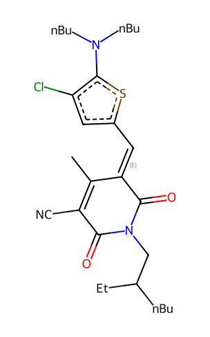 CCCCC(CC)CN1C(=O)C(C#N)=C(C)/C(=C\c2cc(Cl)c(N(CCCC)CCCC)s2)C1=O